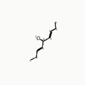 CCC=CC([O])C=CCC